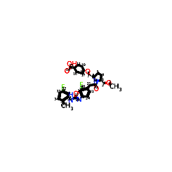 COC[C@H]1CC[C@@H](CO[C@H]2CC[C@@H](C(=O)O)CC2)N1C(=O)Cc1ccc2nc(Nc3cc(F)ccc3C)oc2c1F